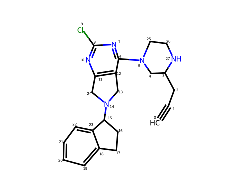 C#CCC1CN(c2nc(Cl)nc3c2CN(C2CCc4ccccc42)C3)CCN1